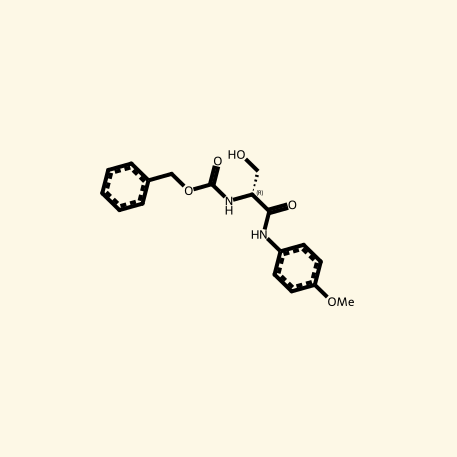 COc1ccc(NC(=O)[C@@H](CO)NC(=O)OCc2ccccc2)cc1